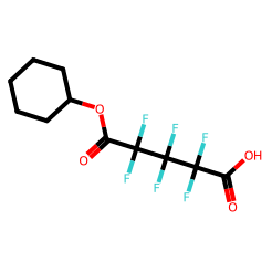 O=C(O)C(F)(F)C(F)(F)C(F)(F)C(=O)OC1CCCCC1